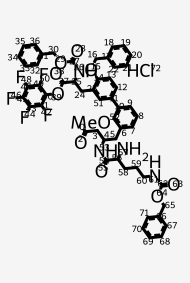 COC(=O)CC(Cc1cccc(-c2ccc(OCc3ccccc3)c(CC(NC(=O)OCc3ccccc3)C(=O)Oc3c(F)c(F)c(F)c(F)c3F)c2)c1)NC(=O)C(N)CCCNC(=O)OCc1ccccc1.Cl